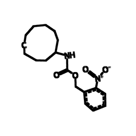 O=C(NC1CCCCCCCCC1)OCc1ccccc1[N+](=O)[O-]